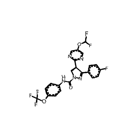 O=C(Nc1ccc(OC(F)(F)F)cc1)N1CC(c2ncc(OC(F)F)cn2)C(c2ccc(F)cc2)=N1